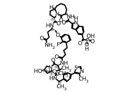 Cc1ncsc1-c1ccc([C@H](C)NC(=O)[C@@H]2C[C@@H](O)CN2C(=O)[C@@H](NC(=O)CCCc2cccc(OC[C@H](CCC(N)=O)NC(=O)[C@@H]3CC[C@@H]4CCCC[C@H](NC(=O)c5cc6cc(C(=O)P(=O)(O)O)ccc6[nH]5)C(=O)N43)c2F)C(C)(C)C)cc1